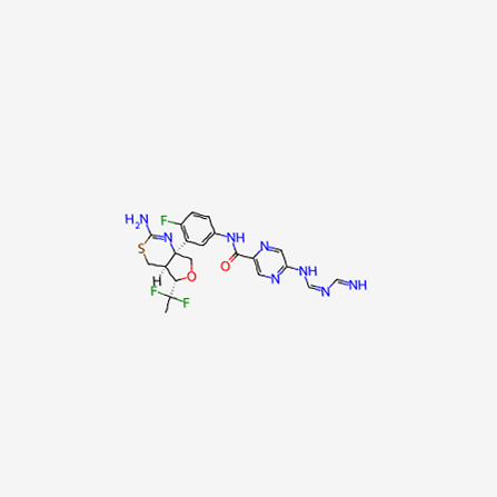 CC(F)(F)[C@H]1OC[C@]2(c3cc(NC(=O)c4cnc(N/C=N\C=N)cn4)ccc3F)N=C(N)SC[C@H]12